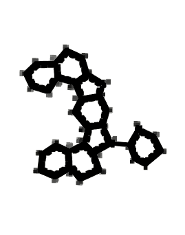 c1ccc(-n2c3cc4sc5ccc6ccccc6c5c4cc3c3c4ccccc4ccc32)nc1